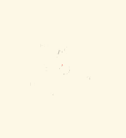 CCC1(CC2=Cc3c(-c4ccc([Si](C)(C)C)cc4)cccc3[CH]2[Zr]([CH3])([CH3])(=[SiH2])[CH]2C(CC3(CC)CCCC3)=Cc3c(-c4ccc([Si](C)(C)C)cc4)cccc32)CCCC1.Cl.Cl